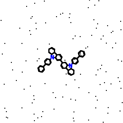 C1=CC2C3C=CC(C4C=CC5C6C=CCCC6N(c6ccc(-c7ccccc7)cc6)C5C4)=CC3N(c3ccc(-c4ccccc4)cc3)C2CC1